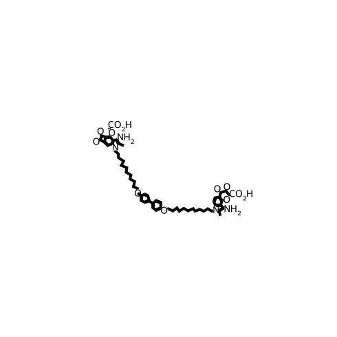 Cc1c(N)c2c3c(ccc2n1CCCCCCCCCCCCOc1ccc(-c2ccc(OCCCCCCCCCCCCn4c(C)c(N)c5c(OCC(=O)O)c6c(=O)c(=O)c6cc54)cc2)cc1)C(=O)C(=O)C(C(=O)O)O3